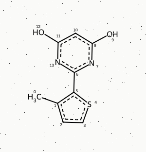 Cc1ccsc1-c1nc(O)cc(O)n1